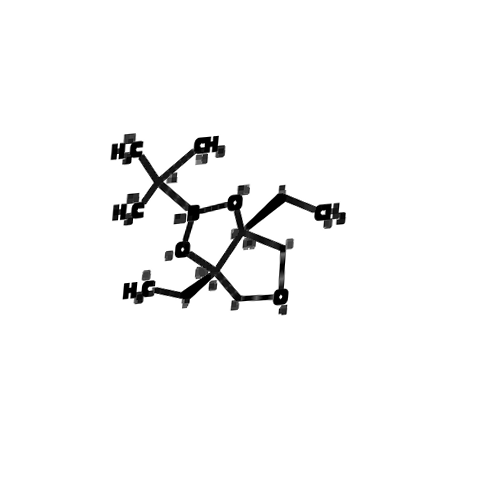 CC[C@@]12COC[C@]1(CC)OB(C(C)(C)C)O2